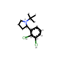 CC(C)(C)N1CCCC1c1cccc(Cl)c1Cl